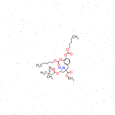 CCCCCOC(=O)Oc1ccc(C[C@](N)(CCOC(=O)CC(C)(C)C)C(=O)OC)cc1OC(=O)OCCCCC